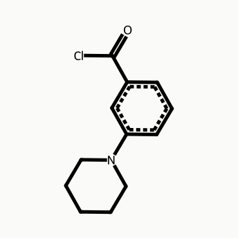 O=C(Cl)c1cccc(N2CCCCC2)c1